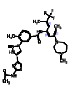 C\C=C(/C=C(\C=C(/C)C(F)(F)F)NC(=O)c1ccc(C)c(N2C=C(c3cnc(NC(C)=O)s3)NN2)c1)N1CCCN(C)CC1